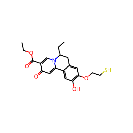 CCOC(=O)c1cn2c(cc1=O)-c1cc(O)c(OCCS)cc1CC2CC